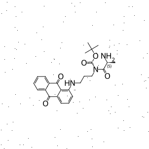 C[C@H](N)C(=O)N(CCCNc1cccc2c1C(=O)c1ccccc1C2=O)C(=O)OC(C)(C)C